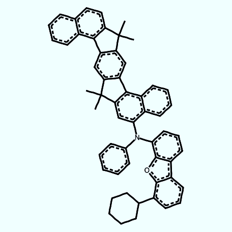 CC1(C)c2cc3c(cc2-c2c1ccc1ccccc21)C(C)(C)c1cc(N(c2ccccc2)c2cccc4c2oc2c(C5CCCCC5)cccc24)c2ccccc2c1-3